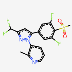 Cc1ncccc1-n1nc(C(F)F)cc1-c1cc(F)c(S(C)(=O)=O)c(F)c1